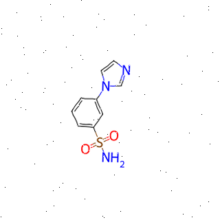 NS(=O)(=O)c1cccc(-n2ccnc2)c1